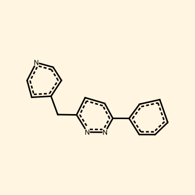 c1ccc(-c2ccc(Cc3ccncc3)nn2)cc1